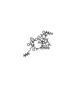 CC[C@H]1OC(=O)[C@H](C)[C@@H](O[C@H]2C[C@@](C)(OC)[C@@H](OC(C)=O)[C@H](C)O2)[C@H](C)[C@@H](OC2O[C@H](C)C[C@H](N(C)C)[C@H]2OC(C)=O)[C@@](C)(OC)C[C@@H](C)C(=O)/C(C)=C2\N(CCCCN=[N+]=[N-])C(=O)O[C@@]21C